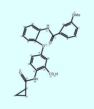 COc1cccc(C(=O)Nc2ccccc2Oc2ccc(NC(=O)C3CC3)c(C(=O)O)c2)c1